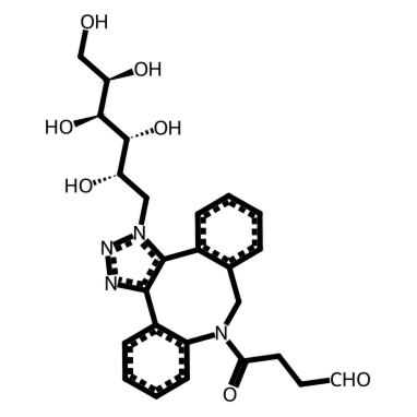 O=CCCC(=O)N1Cc2ccccc2-c2c(nnn2C[C@H](O)[C@@H](O)[C@@H](O)[C@H](O)CO)-c2ccccc21